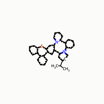 CC(C)c1cc[n+]2c3ccccc3c3cccc[n+]3c3cc4sc5ccccc5c5ccccc5c4cc3c2c1